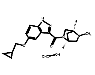 CN1C[C@@H]2C[C@H]1CN2C(=O)c1n[nH]c2ccc(OCC3CC3)cc12.O=CO